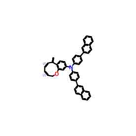 C=C1/C=C\C=C/COc2cc(N(c3ccc(-c4ccc5ccccc5c4)cc3)c3ccc(-c4ccc5ccccc5c4)cc3)ccc21